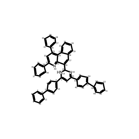 C1=C(c2ccc(-c3ccccc3)cc2)NC(c2cc3ccccc3c3c(-c4ccccc4)cc(-c4ccccc4)nc23)N=C1c1ccc(-c2ccccc2)cc1